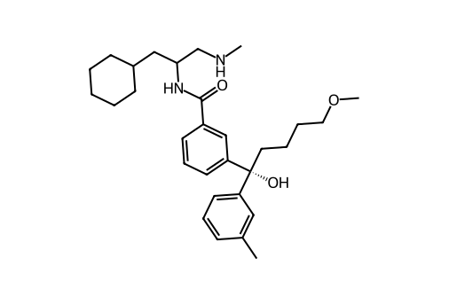 CNCC(CC1CCCCC1)NC(=O)c1cccc([C@@](O)(CCCCOC)c2cccc(C)c2)c1